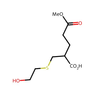 COC(=O)CCC(CSCCO)C(=O)O